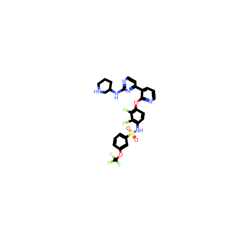 O=S(=O)(Nc1ccc(Oc2ncccc2-c2ccnc(NC3CCCNC3)n2)c(F)c1F)c1cccc(OC(F)(F)F)c1